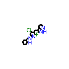 Fc1nc(NCc2ccccc2)cc(Cl)c1Cc1c[nH]c2ncccc12